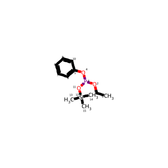 CCOP(Oc1ccccc1)O[Si](C)(C)C